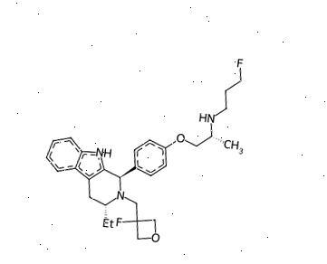 CC[C@@H]1Cc2c([nH]c3ccccc23)[C@@H](c2ccc(OC[C@@H](C)NCCCF)cc2)N1CC1(F)COC1